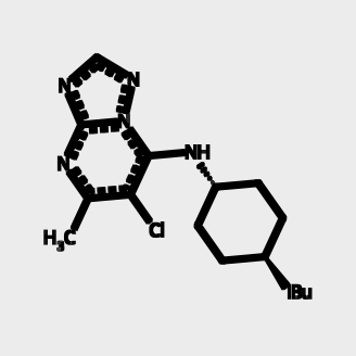 CCC(C)[C@H]1CC[C@H](Nc2c(Cl)c(C)nc3ncnn23)CC1